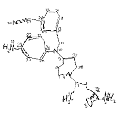 CC(CC(N)=O)N1CCC(N(Cc2cccc(C#N)c2)c2ccc(N)cc2)CC1